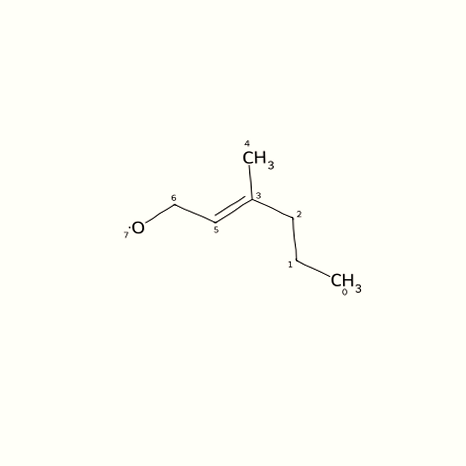 CCCC(C)=CC[O]